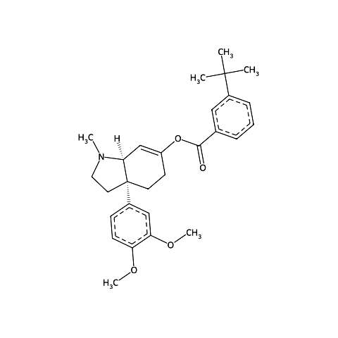 COc1ccc([C@@]23CCC(OC(=O)c4cccc(C(C)(C)C)c4)=C[C@@H]2N(C)CC3)cc1OC